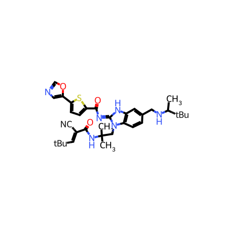 CC(NCc1ccc2c(c1)[nH]c(=NC(=O)c1ccc(-c3cnco3)s1)n2CC(C)(C)NC(=O)C(C#N)=CC(C)(C)C)C(C)(C)C